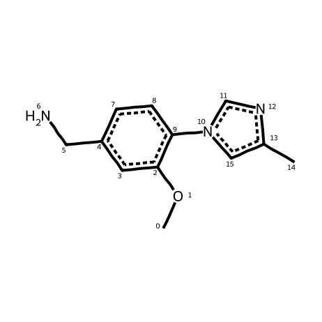 COc1cc(CN)ccc1-n1cnc(C)c1